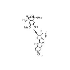 CNC(=O)c1cc(NCC#Cc2sc3c(NC4CCN(C)CC4F)cccc3c2C(F)C(F)F)c(OC)cc1P(C)(C)=O